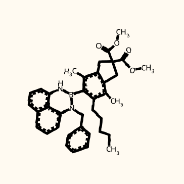 CCCCCc1c(C)c2c(c(C)c1B1Nc3cccc4cccc(c34)N1Cc1ccccc1)CC(C(=O)OC)(C(=O)OC)C2